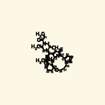 C=CC(=O)N1CC(C)N(c2nc(=O)n3c4nc(c(F)cc24)-c2cnnn2CCCOc2ccnc(C(C)C)c2-3)CC1C